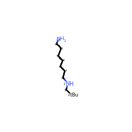 CC(C)(C)CNCCCCCCCN